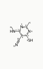 CNc1nc(C)nc(S)c1C#N